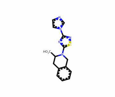 O=C(O)C1Cc2ccccc2CN1c1nc(-n2ccnc2)ns1